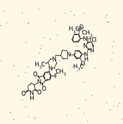 COc1cc(N2CCC(CN3CC(C)N(c4cc5c(cc4F)C(=O)N(C4CCC(=O)NC4=O)C5=O)C(C)C3)CC2)ccc1Nc1ncc(Cl)c(Nc2ccccc2P(C)(C)=O)n1